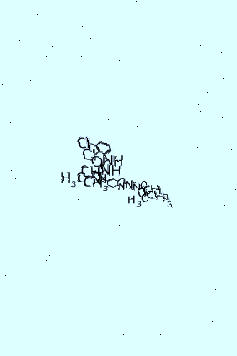 CC(C)(C)OC(=O)N1CCN(c2ccc3cc(-n4nc(C(C)(C)C)cc4NC(=O)Nc4cccc(Cl)c4Cl)ccc3n2)CC1